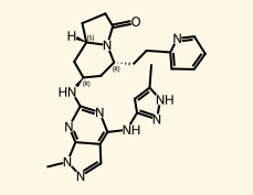 Cc1cc(Nc2nc(N[C@@H]3C[C@@H](CCc4ccccn4)N4C(=O)CC[C@H]4C3)nc3c2cnn3C)n[nH]1